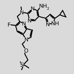 CN(Cc1nc2ccn(COCC[Si](C)(C)C)c2cc1F)c1ncc(-c2cc(C3CC3)[nH]n2)c(N)n1